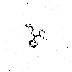 CCOC(C(C)C)n1cncn1